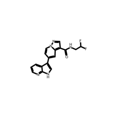 O=C(NCC(F)F)c1cnn2ccc(-c3c[nH]c4ncccc34)cc12